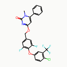 Cn1c(-c2ccccc2)cc(OCc2cc(F)c(Oc3ccc(Cl)c(C(F)(F)F)c3)c(F)c2)nc1=O